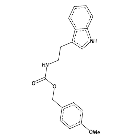 COc1ccc(COC(=O)NCCc2c[nH]c3ccccc23)cc1